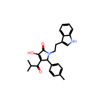 Cc1ccc(C2C(C(=O)C(C)C)=C(O)C(=O)N2CCc2c[nH]c3ccccc23)cc1